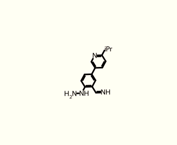 CC(C)c1ccc(-c2ccc(NN)c(C=N)c2)cn1